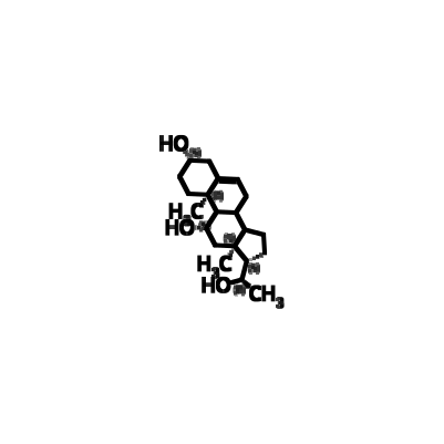 C[C@@H](O)[C@H]1CCC2C3CC=C4C[C@@H](O)CC[C@]4(C)C3[C@@H](O)C[C@@]21C